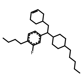 CCCCCC1CCC(C(CC2CC=CCC2)c2ccc(CCCC)c(F)c2)CC1